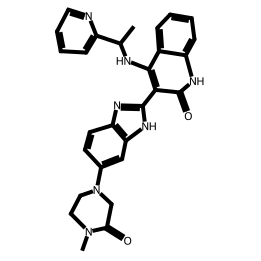 CC(Nc1c(-c2nc3ccc(N4CCN(C)C(=O)C4)cc3[nH]2)c(=O)[nH]c2ccccc12)c1ccccn1